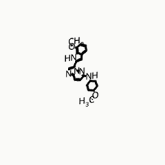 COc1cccc2cc(-c3cnc4ccc(N[C@H]5CC[C@H](OC)CC5)nn34)[nH]c12